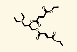 CCOC(=O)/C=C/C(=O)OCC(CN(CC)CC)OC(=O)/C=C/C(=O)OCC